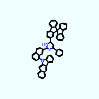 C1=C(c2ccccc2)N=C(c2ccc3cccc(-n4c5ccccc5c5cc6ccccc6cc54)c3c2)NC1c1ccc2c(c1)C1(c3ccccc3-c3ccccc31)c1ccccc1-2